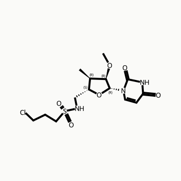 CO[C@@H]1[C@H](C)[C@@H](CNS(=O)(=O)CCCCl)O[C@H]1n1ccc(=O)[nH]c1=O